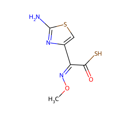 CO/N=C(\C(=O)S)c1csc(N)n1